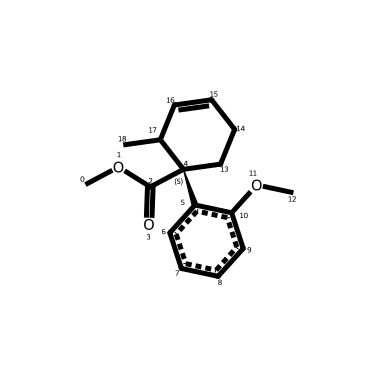 COC(=O)[C@@]1(c2ccccc2OC)CCC=CC1C